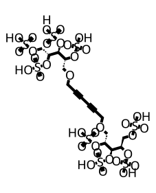 O=S(=O)(O)OC[C@@H](OS(=O)(=O)O)[C@@H](OS(=O)(=O)O)[C@@H](COCC#CC#CCOC[C@@H](OS(=O)(=O)O)[C@H](OS(=O)(=O)O)[C@@H](COS(=O)(=O)O)OS(=O)(=O)O)OS(=O)(=O)O